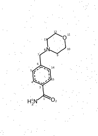 NC(=O)c1ccc(CN2CCOCC2)cc1